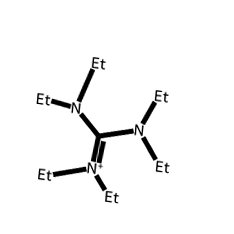 CCN(CC)C(N(CC)CC)=[N+](CC)CC